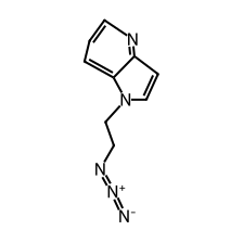 [N-]=[N+]=NCCn1ccc2ncccc21